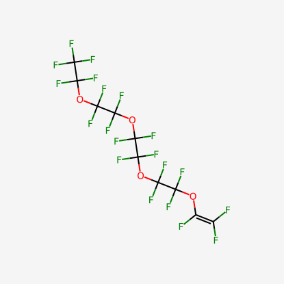 FC(F)=C(F)OC(F)(F)C(F)(F)OC(F)(F)C(F)(F)OC(F)(F)C(F)(F)OC(F)(F)C(F)(F)F